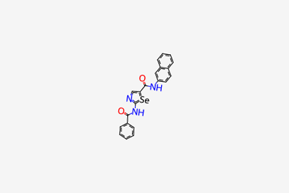 O=C(Nc1ncc(C(=O)Nc2ccc3ccccc3c2)[se]1)c1ccccc1